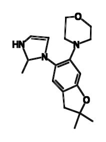 CC1NC=CN1c1cc2c(cc1N1CCOCC1)OC(C)(C)C2